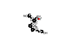 CC[C@@H](C(=O)O)N(C)Cc1cc(Cl)c(OCc2cccc(-c3cccc(OCCCN4CC[C@@H](O)C4)c3C)c2C)cc1OCc1cncc(C#N)c1